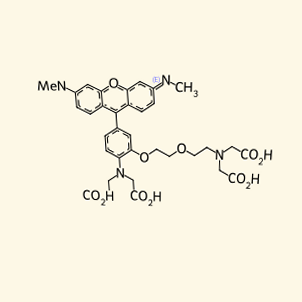 C/N=c1\ccc2c(-c3ccc(N(CC(=O)O)CC(=O)O)c(OCCOCCN(CC(=O)O)CC(=O)O)c3)c3ccc(NC)cc3oc-2c1